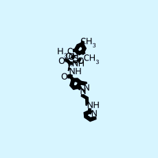 Cc1cc(C)c(S(=O)(=O)N[C@@H](CNC(=O)c2ccc3c(cnn3CCCNc3ccccn3)c2)C(=O)O)c(C)c1